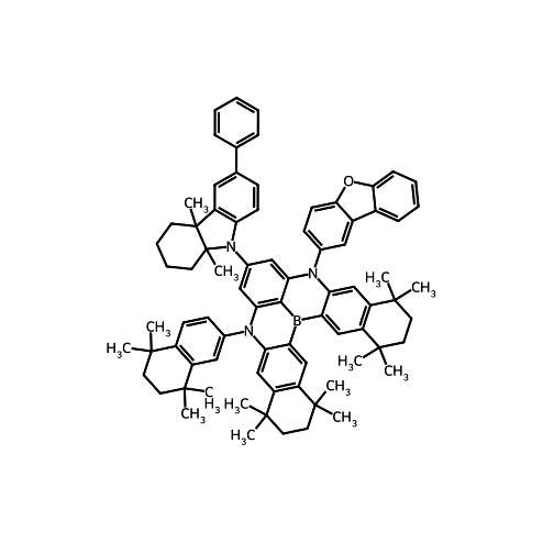 CC1(C)CCC(C)(C)c2cc(N3c4cc5c(cc4B4c6cc7c(cc6N(c6ccc8oc9ccccc9c8c6)c6cc(N8c9ccc(-c%10ccccc%10)cc9C9(C)CCCCC89C)cc3c64)C(C)(C)CCC7(C)C)C(C)(C)CCC5(C)C)ccc21